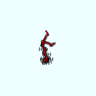 CCCCC/C=C\C/C=C\CCCCCCCCC1(CCCCCCCC/C=C\C/C=C\CCCCC)OCC(CCN(C)CCCCCNC(=O)C(C)(C)COC(CC)CC(=O)NCCCC[C@@H](NC(=O)N[C@H](CCC(=O)O)C(=O)O)C(=O)O)O1